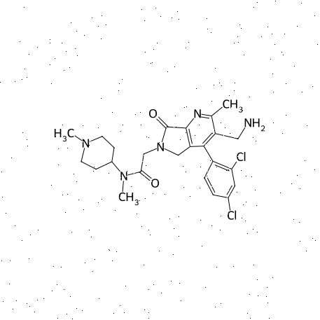 Cc1nc2c(c(-c3ccc(Cl)cc3Cl)c1CN)CN(CC(=O)N(C)C1CCN(C)CC1)C2=O